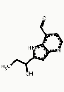 CCC(O)c1cc2nccc(C=O)c2[nH]1